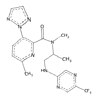 Cc1ccc(-n2nccn2)c(C(=O)N(C)C(C)CNc2cnc(C(F)(F)F)cn2)n1